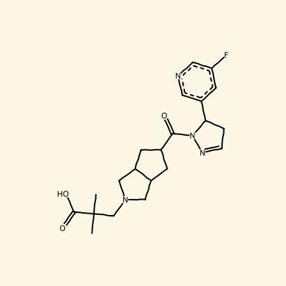 CC(C)(CN1CC2CC(C(=O)N3N=CCC3c3cncc(F)c3)CC2C1)C(=O)O